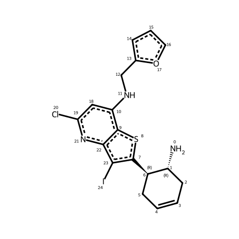 N[C@@H]1CC=CC[C@H]1c1sc2c(NCc3ccco3)cc(Cl)nc2c1I